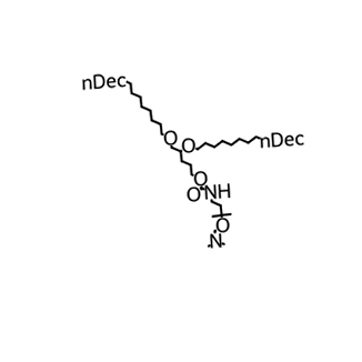 CCCCCCCCCCCCCCCCCCOCC(CCCOC(=O)NCCC(C)(C)OCN(C)C)OCCCCCCCCCCCCCCCCCC